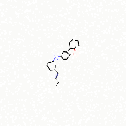 C=C/C=C/C1C=CC=C(N(C)c2ccc3oc4ccccc4c3c2)C1